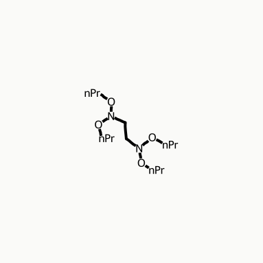 CCCON(CCN(OCCC)OCCC)OCCC